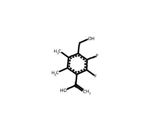 C=C(O)c1c(C)c(C)c(CO)c(F)c1F